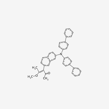 CO/C(C)=C(\C(C)=O)c1ccc2ccc(N(c3ccc(-c4ccccc4)cc3)c3ccc(-c4ccccc4)cc3)cc2c1